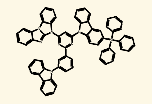 c1ccc([Si](c2ccccc2)(c2ccccc2)c2ccc3c(c2)c2ccccc2n3-c2cc(-n3c4ccccc4n4c5ccccc5nc34)nc(-c3cccc(-n4c5ccccc5c5ccccc54)c3)n2)cc1